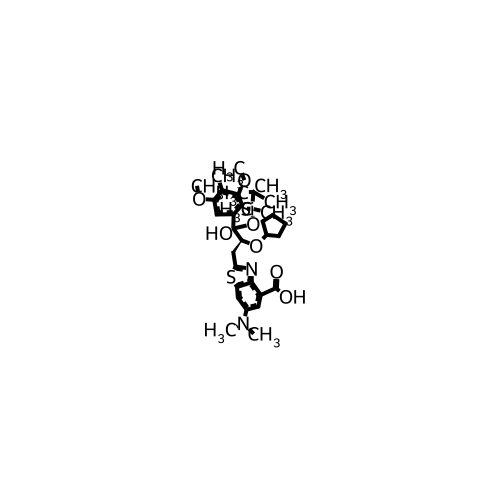 COc1cc([C@@](O)(O[Si](C)(C)C(C)(C)C)[C@H](Cc2nc3c(C(=O)O)cc(N(C)C)cc3s2)OC2CCCC2)cc(OC)c1C